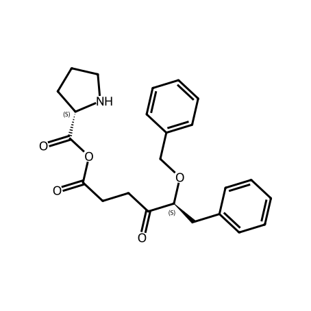 O=C(CCC(=O)[C@H](Cc1ccccc1)OCc1ccccc1)OC(=O)[C@@H]1CCCN1